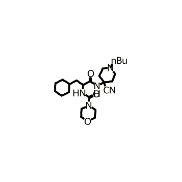 CCCCN1CCC(C#N)(NC(=O)C(CC2CCCCC2)NC(=O)N2CCOCC2)CC1